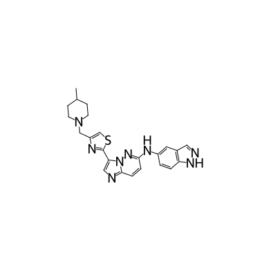 CC1CCN(Cc2csc(-c3cnc4ccc(Nc5ccc6[nH]ncc6c5)nn34)n2)CC1